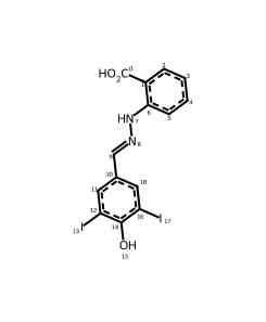 O=C(O)c1ccccc1N/N=C/c1cc(I)c(O)c(I)c1